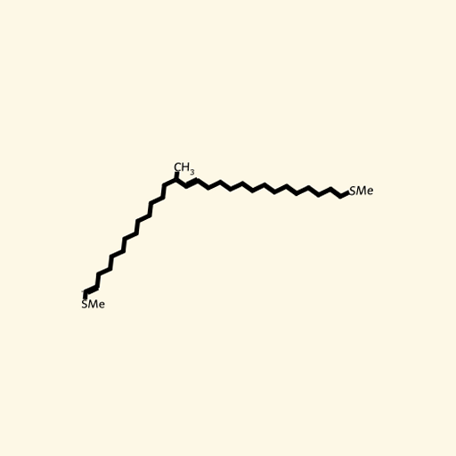 CS/[C]=C/CCCCCCCCCCCC(C)C=CCCCCCCCCCCCCCSC